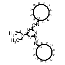 CCN(CC)c1nc(ON=C2CCCCCCCCCCC2)nc(ON=C2CCCCCCCCCCC2)n1